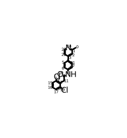 Cc1cc(-c2ccc(NC(=O)Cc3c(Cl)cccc3Cl)cc2)ccn1